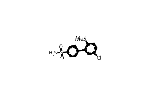 CSc1ccc(Cl)cc1-c1ccc(S(N)(=O)=O)cc1